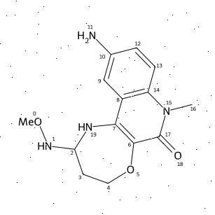 CONC1CCOc2c(c3cc(N)ccc3n(C)c2=O)N1